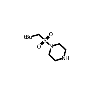 CC(C)(C)CS(=O)(=O)N1CCNCC1